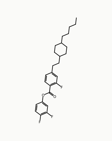 CCCCCC1CCC(CCc2ccc(C(=O)Oc3ccc(F)c(F)c3)c(F)c2)CC1